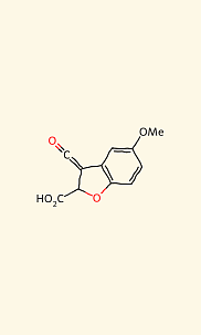 COc1ccc2c(c1)C(=C=O)C(C(=O)O)O2